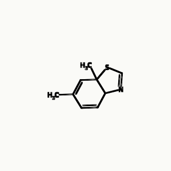 CC1=CC2(C)SC=NC2C=C1